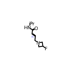 CC(C)NC(=O)/C=C/CN1CC(F)C1